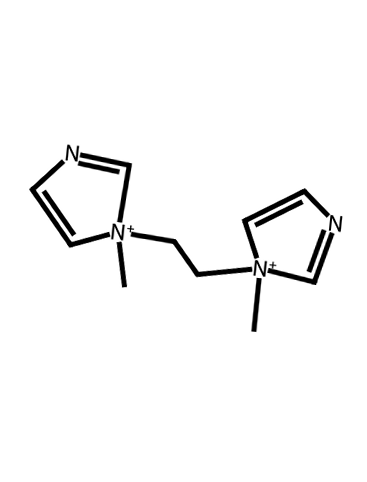 C[N+]1(CC[N+]2(C)C=CN=C2)C=CN=C1